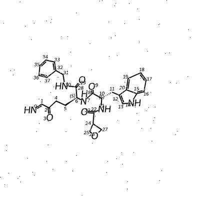 N=CC(=O)CC[C@H](NC(=O)[C@H](Cc1c[nH]c2ccccc12)NC(=O)C1COC1)C(=O)NCc1ccccc1